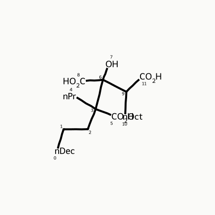 CCCCCCCCCCCCC(CCC)(C(=O)O)C(O)(C(=O)O)C(CCCCCCCC)C(=O)O